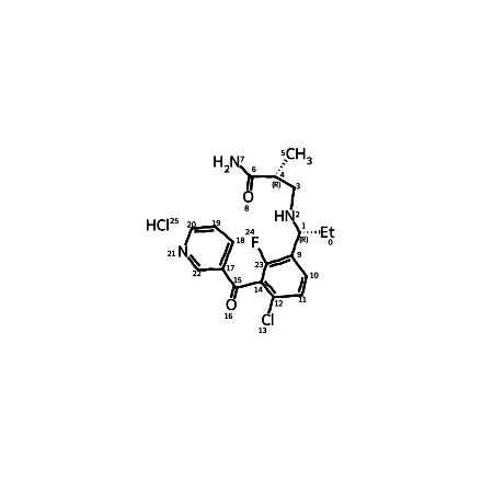 CC[C@@H](NC[C@@H](C)C(N)=O)c1ccc(Cl)c(C(=O)c2cccnc2)c1F.Cl